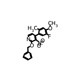 COc1cc(C)c(-c2ccnc(OCc3ccccc3)c2[N+](=O)[O-])cc1F